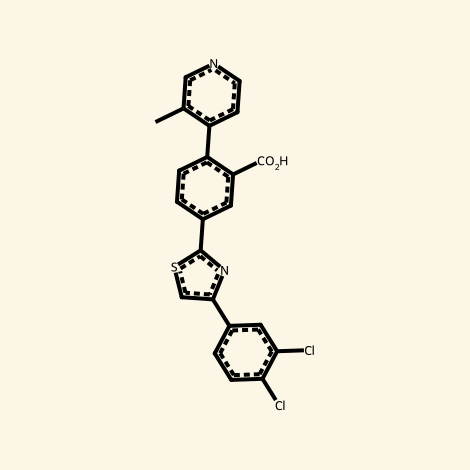 Cc1cnccc1-c1ccc(-c2nc(-c3ccc(Cl)c(Cl)c3)cs2)cc1C(=O)O